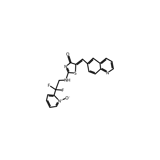 O=C1N=C(NCC(F)(F)c2cccc[n+]2[O-])S/C1=C\c1ccc2ncccc2c1